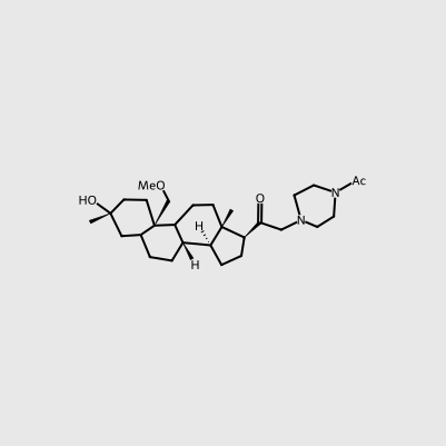 COC[C@]12CC[C@@](C)(O)CC1CC[C@@H]1C2CC[C@]2(C)[C@@H](C(=O)CN3CCN(C(C)=O)CC3)CC[C@@H]12